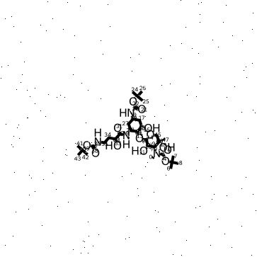 CN(C(=O)OC(C)(C)C)[C@@H]1[C@@H](O)[C@@H](O[C@@H]2[C@@H](O)C[C@@H](NC(=O)OC(C)(C)C)C[C@H]2NC(=O)[C@@H](O)CCNC(=O)OC(C)(C)C)OC[C@]1(C)O